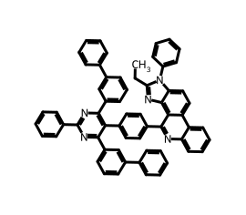 CCc1nc2c3c(-c4ccc(-c5c(-c6cccc(-c7ccccc7)c6)nc(-c6ccccc6)nc5-c5cccc(-c6ccccc6)c5)cc4)nc4ccccc4c3ccc2n1-c1ccccc1